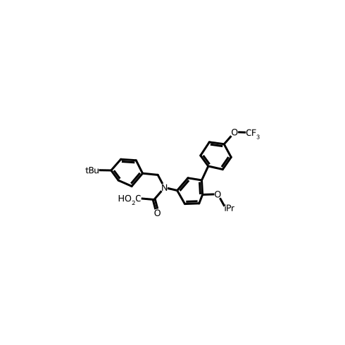 CC(C)Oc1ccc(N(Cc2ccc(C(C)(C)C)cc2)C(=O)C(=O)O)cc1-c1ccc(OC(F)(F)F)cc1